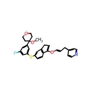 COC1(c2cc(F)cc(Sc3ccc4c(c3)CC=C4O/C=C/Cc3ccncc3)c2)CCOCC1